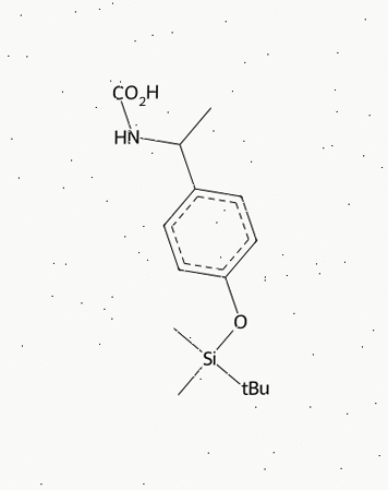 CC(NC(=O)O)c1ccc(O[Si](C)(C)C(C)(C)C)cc1